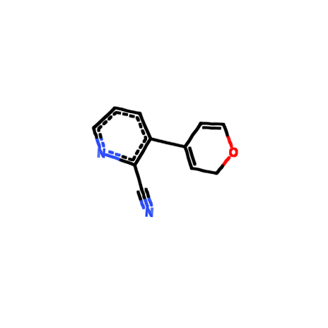 N#Cc1ncccc1C1=CCOC=C1